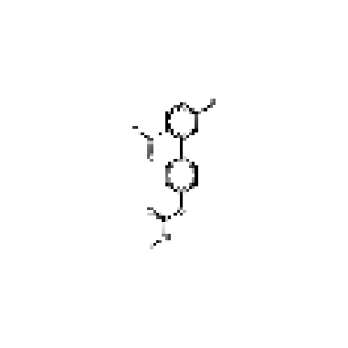 CNC(=O)Oc1ccc(-c2cc(F)ccc2[N+](=O)[O-])cc1